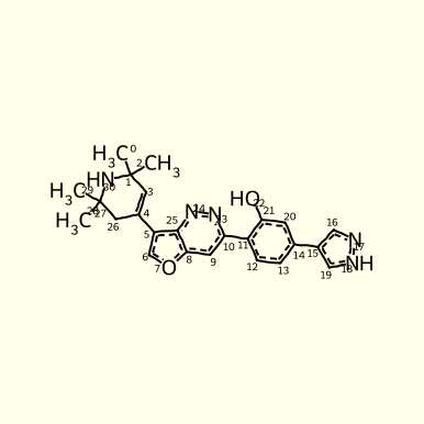 CC1(C)C=C(c2coc3cc(-c4ccc(-c5cn[nH]c5)cc4O)nnc23)CC(C)(C)N1